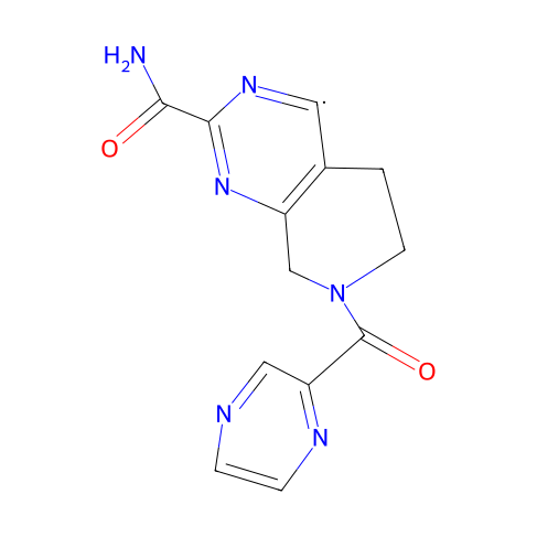 NC(=O)c1n[c]c2c(n1)CN(C(=O)c1cnccn1)CC2